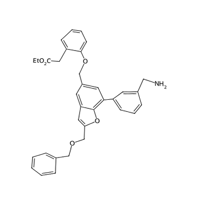 CCOC(=O)Cc1ccccc1OCc1cc(-c2cccc(CN)c2)c2oc(COCc3ccccc3)cc2c1